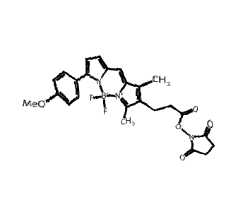 COc1ccc(-c2ccc3n2[B-](F)(F)[N+]2=C(C)C(CCC(=O)ON4C(=O)CCC4=O)=C(C)C2=C3)cc1